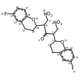 O=C(C(C[N+](=O)[O-])C1CCc2cc(F)ccc2O1)C(C[N+](=O)[O-])C1CCc2cc(F)ccc2O1